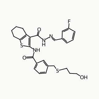 O=C(Nc1sc2c(c1C(=O)NN=Cc1cccc(F)c1)CCCC2)c1cccc(CSCCCO)c1